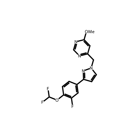 COc1cc(Cn2ccc(-c3ccc(OC(F)F)c(F)c3)n2)ncn1